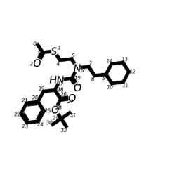 CC(=O)SCCN(CCC1CCCCC1)C(=O)NC(Cc1ccccc1)C(=O)OC(C)(C)C